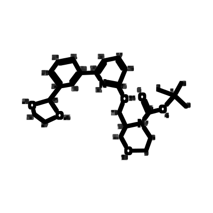 CC(C)(C)OC(=O)N1CCOCC1COc1cccc(-c2cccc(C3OCCO3)c2)n1